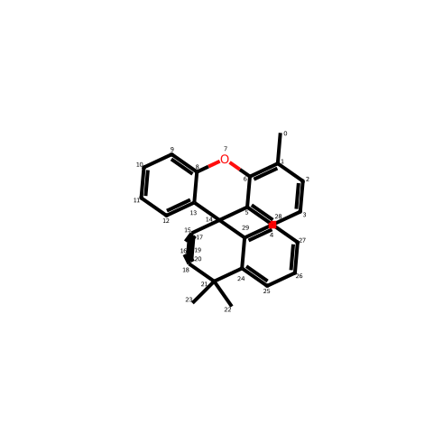 Cc1cccc2c1Oc1ccccc1C21c2ccccc2C(C)(C)c2ccccc21